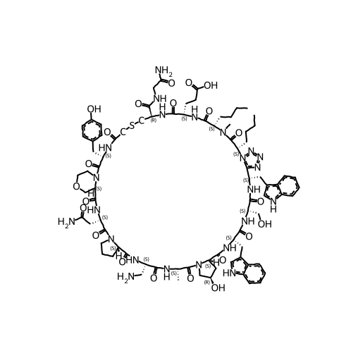 CCCC[C@H]1C(=O)N[C@@H](CCC(=O)O)C(=O)N[C@H](C(=O)NCC(N)=O)CSCC(=O)N[C@@H](Cc2ccc(O)cc2)C(=O)N2CCOC[C@H]2C(=O)N[C@@H](CC(N)=O)C(=O)N2CCC[C@H]2C(=O)N[C@@H](CN)C(=O)N[C@@H](C)C(=O)N2C[C@H](O)C[C@H]2C(=O)N[C@@H](Cc2c[nH]c3ccccc23)C(=O)N[C@@H](CO)C(=O)N[C@@H](Cc2c[nH]c3ccccc23)c2nnnn2[C@@H](CCCC)C(=O)N1C